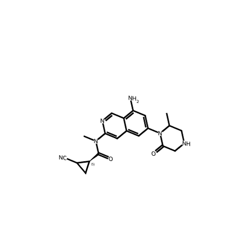 CC1CNCC(=O)N1c1cc(N)c2cnc(N(C)C(=O)[C@H]3CC3C#N)cc2c1